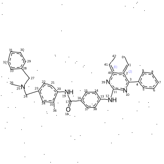 C/C=c1/c(-c2ccccc2)nc(Nc2ccc(C(=O)Nc3ccc(CN(C)Cc4ccccc4)cc3C)cc2)n/c1=C/C